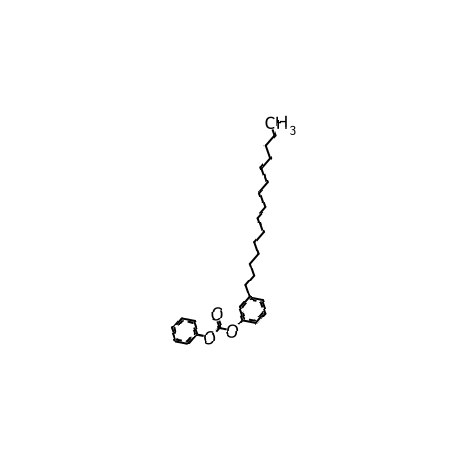 CCCCCCCCCCCCCCCc1cccc(OC(=O)Oc2ccccc2)c1